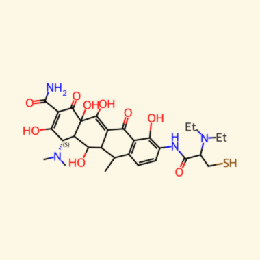 CCN(CC)C(CS)C(=O)Nc1ccc2c(c1O)C(=O)C1=C(O)C3(O)C(=O)C(C(N)=O)=C(O)[C@@H](N(C)C)C3C(O)C1C2C